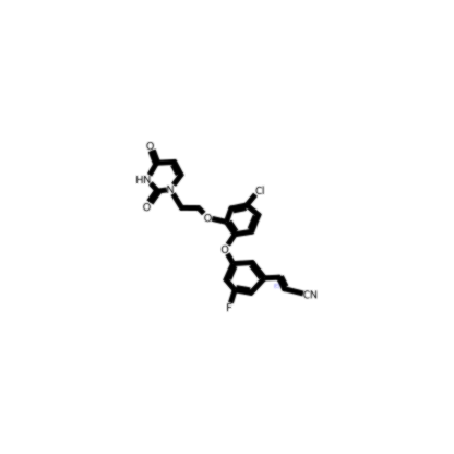 N#C/C=C/c1cc(F)cc(Oc2ccc(Cl)cc2OCCn2ccc(=O)[nH]c2=O)c1